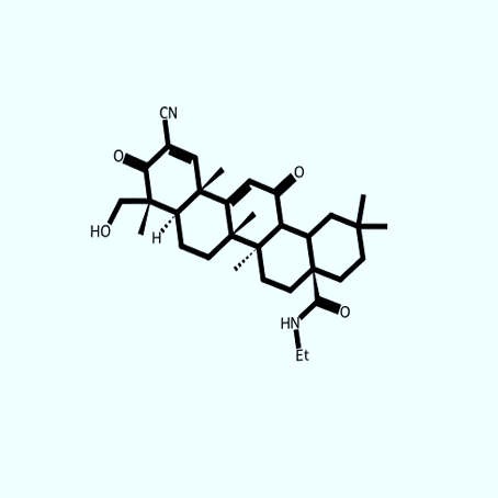 CCNC(=O)[C@]12CCC(C)(C)CC1C1C(=O)C=C3[C@@]4(C)C=C(C#N)C(=O)[C@@](C)(CO)[C@@H]4CC[C@@]3(C)[C@]1(C)CC2